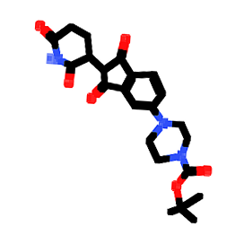 CC(C)(C)OC(=O)N1CCN(c2ccc3c(c2)C(=O)C(C2CCC(=O)NC2=O)C3=O)CC1